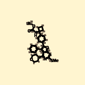 CSc1nc(N2CCOCC2)c2c(-c3ccccc3)c(-c3ccc(C4(NC(=O)OC(C)(C)C)CCC4)cc3)oc2n1